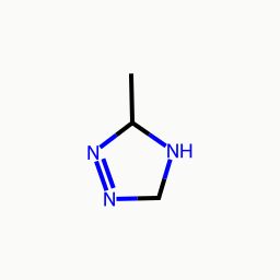 CC1N=NCN1